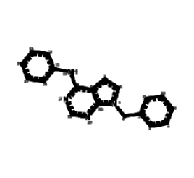 c1ccc(Cn2ccc3c(Nc4ccccc4)ncnc32)cc1